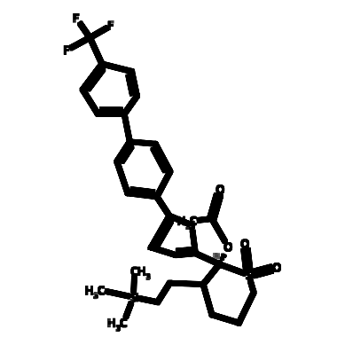 CC(=O)O[C@@]1(c2ccc(-c3ccc(-c4ccc(C(F)(F)F)cc4)cc3)s2)C(CC[Si](C)(C)C)CCCS1(=O)=O